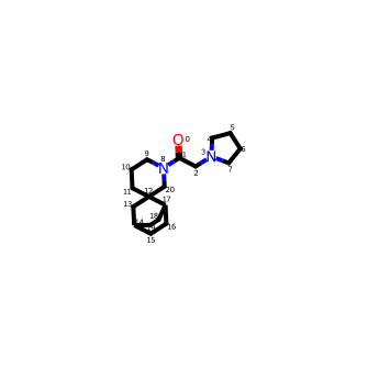 O=C(CN1CCCC1)N1CCCC2(CC3CCC2CC3)C1